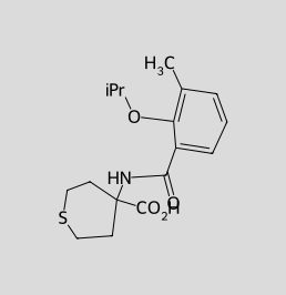 Cc1cccc(C(=O)NC2(C(=O)O)CCSCC2)c1OC(C)C